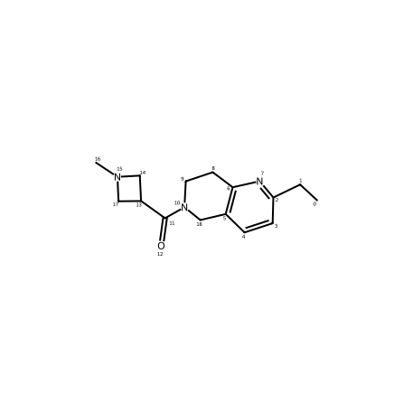 CCc1ccc2c(n1)CCN(C(=O)C1CN(C)C1)C2